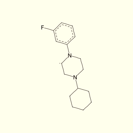 Fc1cccc(N2[CH]CN(C3CCCCC3)CC2)c1